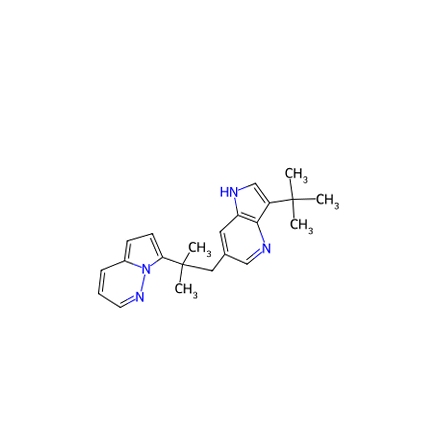 CC(C)(C)c1c[nH]c2cc(CC(C)(C)c3ccc4cccnn34)cnc12